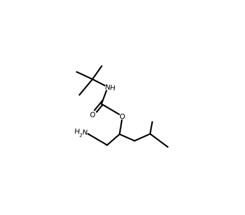 CC(C)CC(CN)OC(=O)NC(C)(C)C